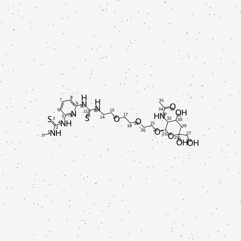 CNC(=S)Nc1cccc(NC(=S)NCCOCCOCCO[C@@H]2OC(O)(CO)CC(O)C2NC(C)=O)n1